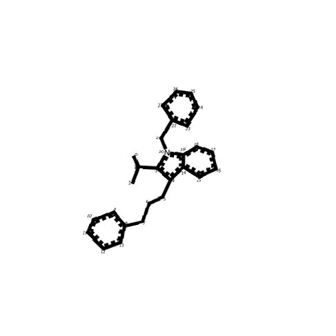 CC(C)c1c(CCCc2ccccc2)c2ccccc2n1Cc1ccccc1